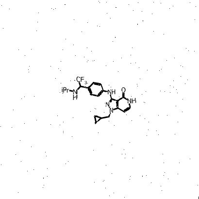 CC(C)NC(c1ccc(Nc2nn(CC3CC3)c3cc[nH]c(=O)c23)cc1)C(F)(F)F